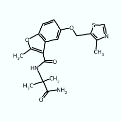 Cc1ncsc1COc1ccc2oc(C)c(C(=O)NC(C)(C)C(N)=O)c2c1